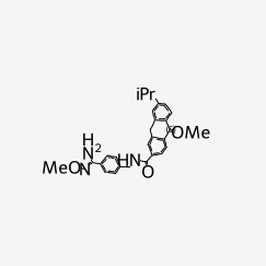 CON=C(N)c1ccc(CNC(=O)c2ccc3c(c2)Cc2cc(C(C)C)ccc2[C@@H]3OC)cc1